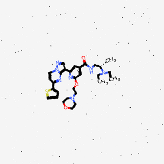 CCN(CC)[C@@H](C)CNC(=O)c1cc(OCCN2CCOCC2)nc(-c2cnn3ccc(-c4cccs4)nc23)c1